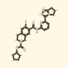 O=C(Nc1cccc(-c2nnc3n2CCC3)n1)c1cc2c(cc1F)CCN(C(=O)OC1CCCC1)C2